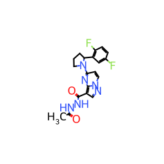 CC(=O)NNC(=O)c1cnn2ccc(N3CCCC3c3cc(F)ccc3F)nc12